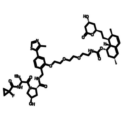 Cc1ncsc1-c1ccc(CNC(=O)[C@@H]2C[C@@H](O)CN2C(=O)[C@@H](NC(=O)C2(F)CC2)C(C)(C)C)c(OCCOCCOCCNC(=O)O[C@H]2C[C@@H](C)C=C3C=C[C@H](C)[C@H](CC[C@@H]4C[C@@H](O)CC(=O)O4)[C@H]32)c1